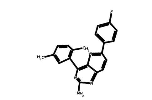 Cc1ccc(C)c(-c2nc(N)nc3ccc(-c4ccc(F)cc4)nc23)c1